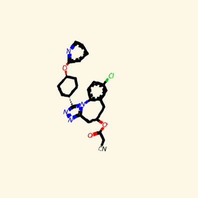 N#CCC(=O)OC1Cc2cc(Cl)ccc2-n2c(nnc2[C@H]2CC[C@H](Oc3ccccn3)CC2)C1